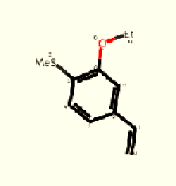 C=Cc1ccc(SC)c(OCC)c1